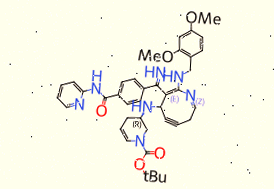 COc1ccc(CNC2=C(\C(=N)c3ccc(C(=O)Nc4ccccn4)cc3)C(N[C@@H]3CC=CN(C(=O)OC(C)(C)C)C3)C#CC/C=N\2)c(OC)c1